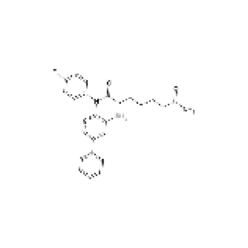 NC(=O)CCCCCC(=O)N(c1ccc(F)cc1)c1ccc(-c2ccccc2)cc1N